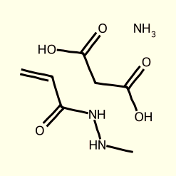 C=CC(=O)NNC.N.O=C(O)CC(=O)O